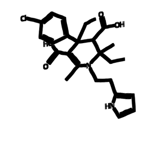 CCC1(c2ccc(Cl)cc2)C(C(=O)O)=C(C)N(CCc2ccc[nH]2)C(C)(CC)C1C(=O)O